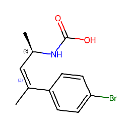 C/C(=C/[C@@H](C)NC(=O)O)c1ccc(Br)cc1